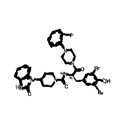 O=C(N[C@H](Cc1cc(Br)c(O)c(Br)c1)C(=O)N1CCN(c2ccccc2F)CC1)N1CCC(n2c(=O)[nH]c3ccccc32)CC1